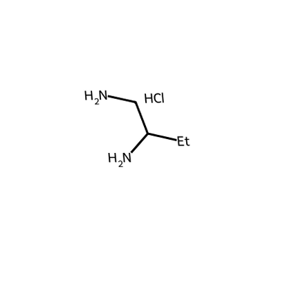 CCC(N)CN.Cl